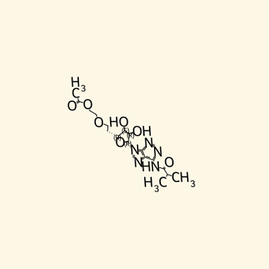 CC(=O)OCCOCC[C@H]1O[C@@H](n2cnc3c(NC(=O)C(C)C)ncnc32)[C@H](O)[C@@H]1O